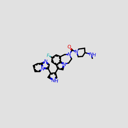 CNC1CCN(C(=O)N2CCn3cc(-c4c[nH]cc4-c4cnc5ccccn45)c4cc(F)cc(c43)C2)CC1